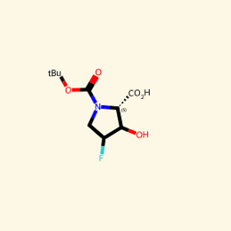 CC(C)(C)OC(=O)N1CC(F)C(O)[C@H]1C(=O)O